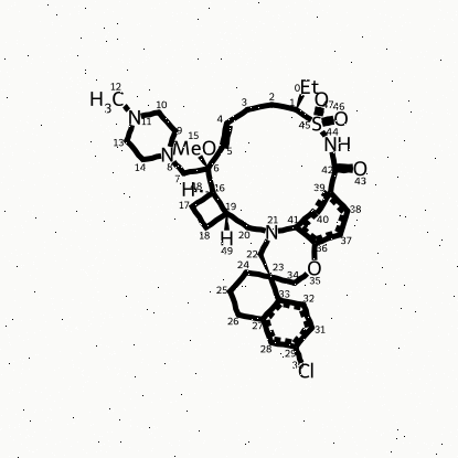 CC[C@@H]1CC/C=C/[C@](CN2CCN(C)CC2)(OC)[C@@H]2CC[C@H]2CN2C[C@@]3(CCCc4cc(Cl)ccc43)COc3ccc(cc32)C(=O)NS1(=O)=O